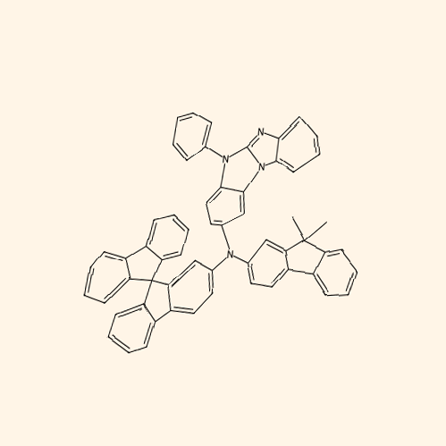 CC1(C)c2ccccc2-c2ccc(N(c3ccc4c(c3)C3(c5ccccc5-c5ccccc53)c3ccccc3-4)c3ccc4c(c3)n3c5ccccc5nc3n4-c3ccccc3)cc21